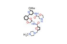 COc1cc(NC(=O)C2CNCCO2)cc(-c2cccc3c2O[C@H](CNC(=O)c2ccc(CN4CCN(C)CC4)o2)CO3)n1